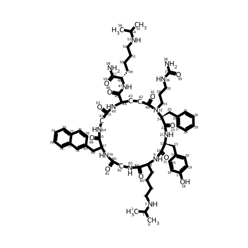 CC(C)NCCCCC1NC(=O)[C@H](Cc2ccc(O)cc2)NC(=O)[C@H](Cc2ccccc2)N(CCCNC(N)=O)C(=O)CCC(C(=O)N[C@@H](CCCCNC(C)C)C(N)=O)NC(=O)CNC(=O)C(Cc2ccc3ccccc3c2)NC(=O)CNC1=O